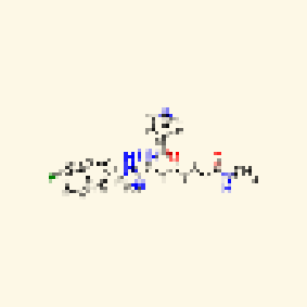 CNC(=O)CCCCC[C@H](NC(=O)C12CCN(CC1)CC2)c1ncc(-c2ccc3cc(F)ccc3c2)[nH]1